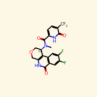 CN(C(=O)c1ccc(C(F)(F)F)c(=O)[nH]1)[C@@H]1COCc2[nH]c(=O)c3cc(F)c(F)cc3c21